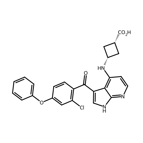 O=C(c1ccc(Oc2ccccc2)cc1Cl)c1c[nH]c2nccc(N[C@H]3C[C@@H](C(=O)O)C3)c12